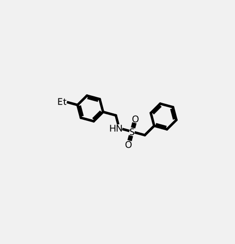 CCc1ccc(CNS(=O)(=O)Cc2ccccc2)cc1